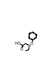 CCN(CC(=O)O)Oc1ccccc1